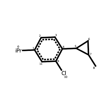 CC(C)c1ccc(C2CC2C)c(Cl)c1